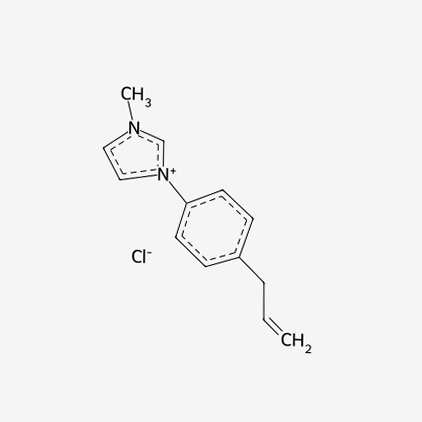 C=CCc1ccc(-[n+]2ccn(C)c2)cc1.[Cl-]